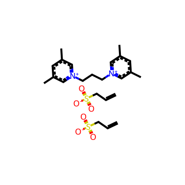 C=CCS(=O)(=O)[O-].C=CCS(=O)(=O)[O-].Cc1cc(C)c[n+](CCC[n+]2cc(C)cc(C)c2)c1